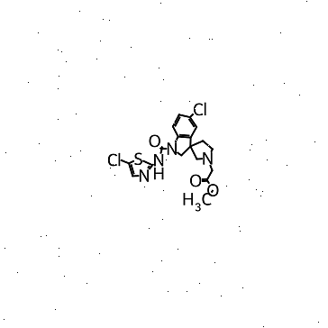 COC(=O)CN1CCC2(C1)CN(C(=O)Nc1ncc(Cl)s1)c1ccc(Cl)cc12